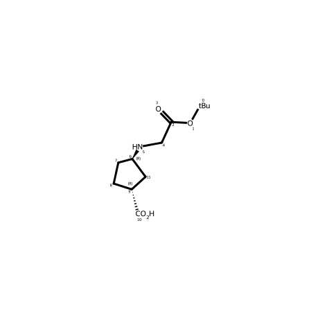 CC(C)(C)OC(=O)CN[C@@H]1CC[C@@H](C(=O)O)C1